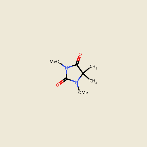 CON1C(=O)N(OC)C(C)(C)C1=O